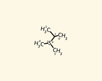 CC(C)[S+](C)C